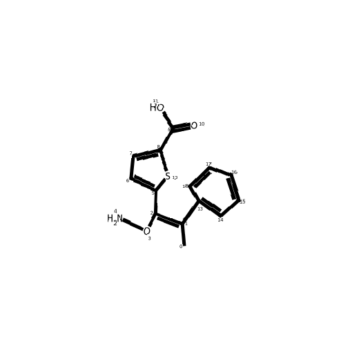 C/C(=C(\ON)c1ccc(C(=O)O)s1)c1ccccc1